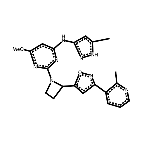 COc1cc(Nc2cc(C)[nH]n2)nc(N2CCC2c2cc(-c3cccnc3C)no2)n1